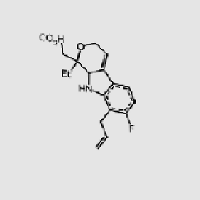 C=CCc1c(F)ccc2c1NC1C2=CCOC1(CC)CC(=O)O